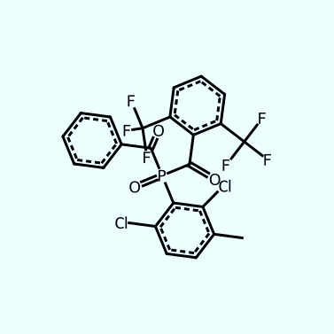 Cc1ccc(Cl)c(P(=O)(C(=O)c2ccccc2)C(=O)c2c(C(F)(F)F)cccc2C(F)(F)F)c1Cl